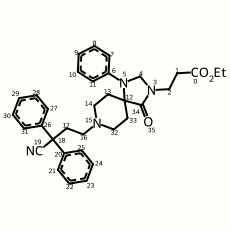 CCOC(=O)CCN1CN(c2ccccc2)C2(CCN(CCC(C#N)(c3ccccc3)c3ccccc3)CC2)C1=O